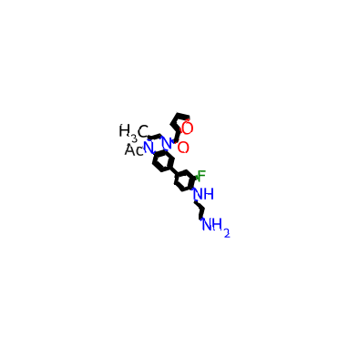 CC(=O)N1c2ccc(-c3ccc(NCCCN)c(F)c3)cc2N(C(=O)c2ccco2)C[C@@H]1C